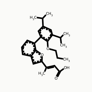 CCCOc1c(-c2cccc3cc(C(C)=CC(=O)O)oc23)cc(C(C)C)cc1C(C)C